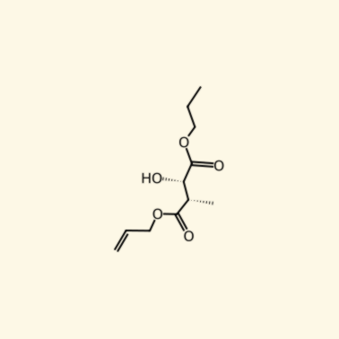 C=CCOC(=O)[C@@H](C)[C@H](O)C(=O)OCCC